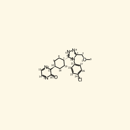 COCc1nnc([C@H]2CC[C@H](C3N=CC=NC3=O)CC2)n1-c1ccc(Cl)cc1